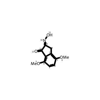 COc1ccc(OC)c2c1CC(=NO)C2=O